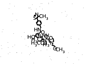 COCCN1CCO[C@H](C(=O)N[C@H](C(=N)N2C[C@H](O)C[C@H]2C(=O)NCc2ccc(-c3scnc3C)cc2)C(C)(C)C)C1